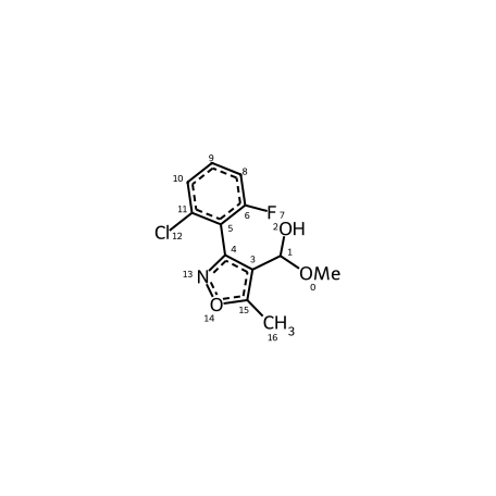 COC(O)c1c(-c2c(F)cccc2Cl)noc1C